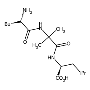 CC[C@H](C)[C@H](N)C(=O)NC(C)(C)C(=O)N[C@@H](CC(C)C)C(=O)O